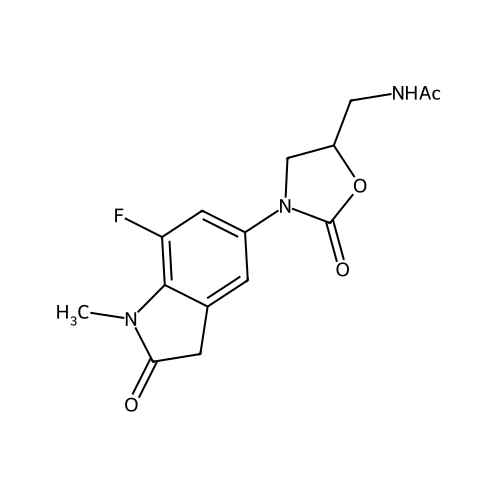 CC(=O)NCC1CN(c2cc(F)c3c(c2)CC(=O)N3C)C(=O)O1